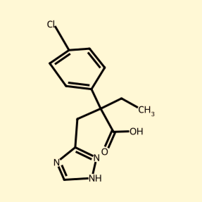 CCC(Cc1nc[nH]n1)(C(=O)O)c1ccc(Cl)cc1